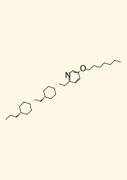 CCCCCCCOc1ccc(CC[C@H]2CC[C@H](CC[C@H]3CC[C@H](CCC)CC3)CC2)nc1